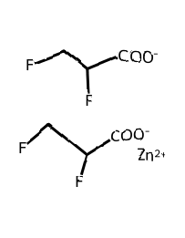 O=C([O-])C(F)CF.O=C([O-])C(F)CF.[Zn+2]